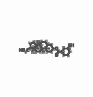 C[C@]12CCC(OC(=O)N3CCCC(O)C3)CC1CC[C@@H]1[C@H]2CC[C@]2(C)C(C(=O)O)CC[C@@H]12